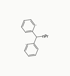 CCCC(c1[c]cccc1)c1[c]cccc1